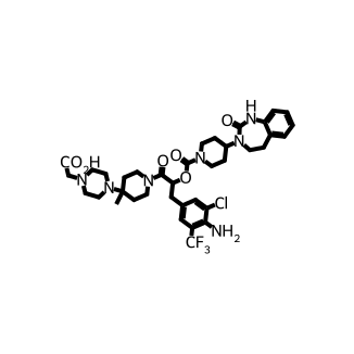 CC1(N2CCN(CC(=O)O)CC2)CCN(C(=O)C(Cc2cc(Cl)c(N)c(C(F)(F)F)c2)OC(=O)N2CCC(N3CCc4ccccc4NC3=O)CC2)CC1